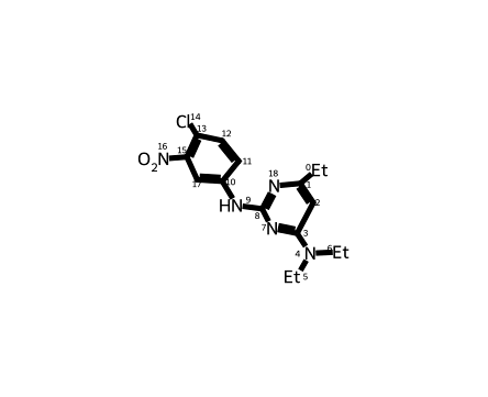 CCc1cc(N(CC)CC)nc(Nc2ccc(Cl)c([N+](=O)[O-])c2)n1